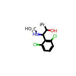 CC(C)C(O)C(NC(=O)O)c1c(Cl)cccc1Cl